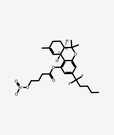 CCCCC(F)(F)c1cc(OC(=O)CCCO[N+](=O)[O-])c2c(c1)OC(C)(C)[C@@H]1CCC(C)=C[C@@H]21